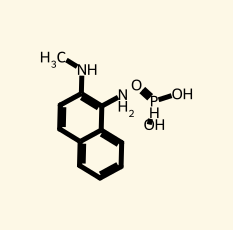 CNc1ccc2ccccc2c1N.O=[PH](O)O